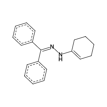 C1=C(NN=C(c2ccccc2)c2ccccc2)CCCC1